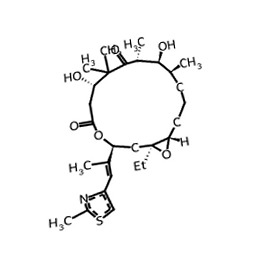 CC[C@]12C[C@@H](C(C)=Cc3csc(C)n3)OC(=O)C[C@H](O)C(C)(C)C(=O)[C@H](C)[C@@H](O)[C@@H](C)CCC[C@@H]1O2